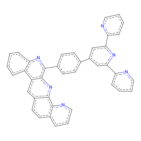 c1ccc(-c2cc(-c3ccc(-c4nc5ccccc5c5cc6ccc7cccnc7c6nc45)cc3)cc(-c3ccccn3)n2)nc1